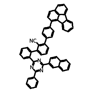 N#Cc1c(-c2ccc(-c3ccc4cccc5c4c3-c3ccccc3-5)cc2)cccc1-c1ccccc1-c1nc(-c2ccccc2)nc(-c2ccc3ccccc3c2)n1